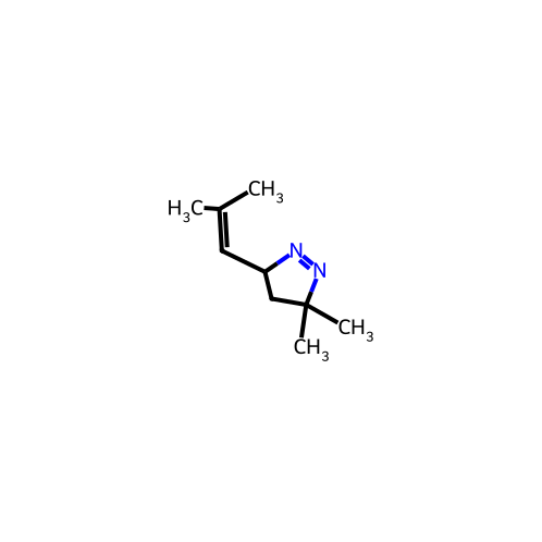 CC(C)=CC1CC(C)(C)N=N1